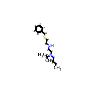 CCCCN(CCNCCSCc1ccccc1)C(C)C